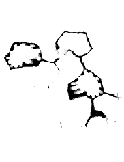 COC(=O)c1ccc(C2CCCCN2C(OC=O)c2ccccc2)cc1F